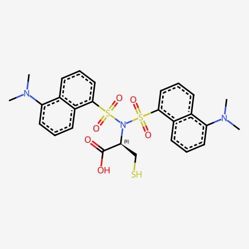 CN(C)c1cccc2c(S(=O)(=O)N([C@@H](CS)C(=O)O)S(=O)(=O)c3cccc4c(N(C)C)cccc34)cccc12